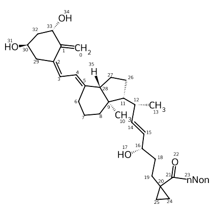 C=C1/C(=C\C=C2/CCC[C@]3(C)[C@@H]([C@H](C)/C=C/[C@@H](O)CCC4(C(=O)CCCCCCCCC)CC4)CC[C@@H]23)C[C@@H](O)C[C@@H]1O